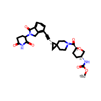 CC(C)(C)OC(=O)N[C@@H]1CC[C@@H](C(=O)N2CCC3(CC2)C[C@@H]3C#Cc2cccc3c2CN(C2CCC(=O)NC2=O)C3=O)OC1